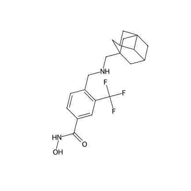 O=C(NO)c1ccc(CNCC23CC4CC5(CC(C2)C45)C3)c(C(F)(F)F)c1